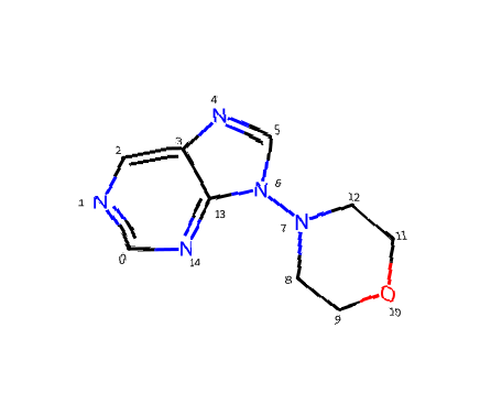 c1ncc2ncn(N3CCOCC3)c2n1